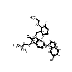 CCOC1C(F)=CC=C(F)C1Cn1c(=O)n(CCN(C)C)c2cnc(-n3cnc4ccc(F)cc43)nc21